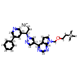 C[Si](C)(C)CCOCn1ccc2c(-c3cnn(C(CC#N)c4cncc(-c5ccccc5)c4)c3)ncnc21